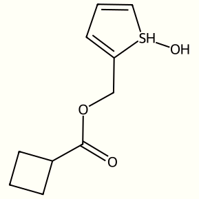 O=C(OCC1=CC=C[SH]1O)C1CCC1